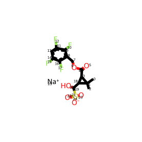 CC1(C)C(C(=O)OCc2c(F)c(F)cc(F)c2F)C1C(O)S(=O)(=O)[O-].[Na+]